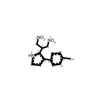 O=[N+]([O-])CC(C[N+](=O)[O-])c1[nH]ccc1-c1ccc(I)cc1